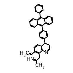 C=Cc1ccc2c(c1CC(C)=N)N=CCC2c1ccc(-c2c3ccccc3c(-c3ccccc3)c3ccccc23)cc1